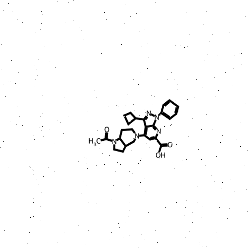 CC(=O)N1CCC2CN(c3cc(C(=O)O)nc4c3c(C3CCC3)nn4-c3ccccc3)CCC21